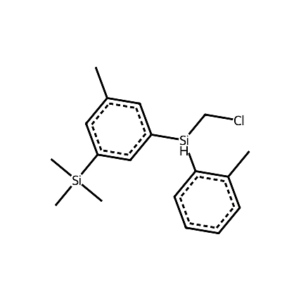 Cc1cc([SiH](CCl)c2ccccc2C)cc([Si](C)(C)C)c1